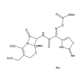 CNC(=O)ON=C(C(=O)NC1C(=O)N2C(C(=O)[O-])=C(COC(C)=O)CS[C@@H]12)c1csc(=N)[nH]1.[Na+]